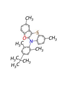 Cc1ccc2c(c1)Sc1c(oc3ccc(C)cc13)N2c1c(C)cc(C(C)(C)C)cc1C